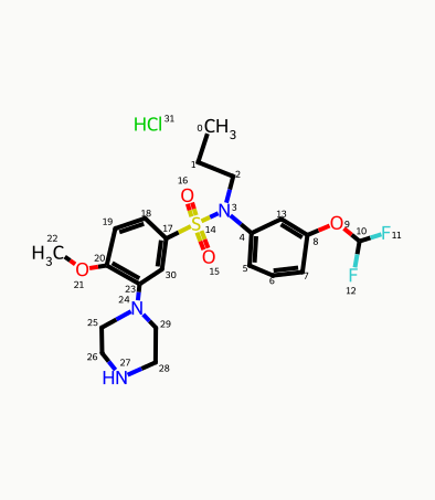 CCCN(c1cccc(OC(F)F)c1)S(=O)(=O)c1ccc(OC)c(N2CCNCC2)c1.Cl